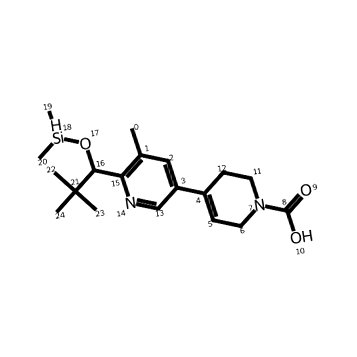 Cc1cc(C2=CCN(C(=O)O)CC2)cnc1C(O[SiH](C)C)C(C)(C)C